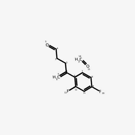 C=C(CCC=O)c1ccc(F)cc1F.C=O